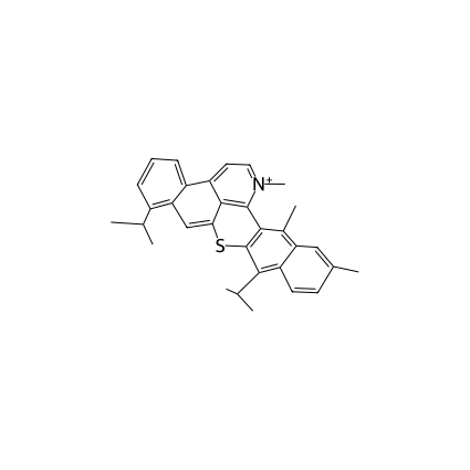 Cc1ccc2c(C(C)C)c3c(c(C)c2c1)-c1c2c(cc4c(C(C)C)cccc4c2cc[n+]1C)S3